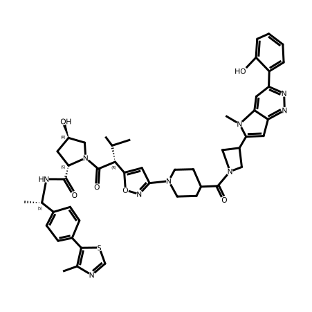 Cc1ncsc1-c1ccc([C@H](C)NC(=O)[C@@H]2C[C@@H](O)CN2C(=O)[C@@H](c2cc(N3CCC(C(=O)N4CC(c5cc6nnc(-c7ccccc7O)cc6n5C)C4)CC3)no2)C(C)C)cc1